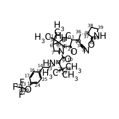 CC(C(=O)[C@@H]1[C@@H]2C(CN1C(=O)[C@@H](NCCc1ccc(OC(F)(F)F)cc1)C(C)(C)C)C2(C)C)[C@H](C#N)C[C@@H]1CCNC1=O